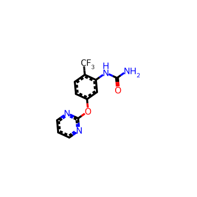 NC(=O)Nc1cc(Oc2ncccn2)ccc1C(F)(F)F